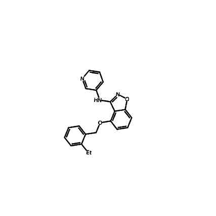 CCc1ccccc1COc1cccc2onc(Nc3cccnc3)c12